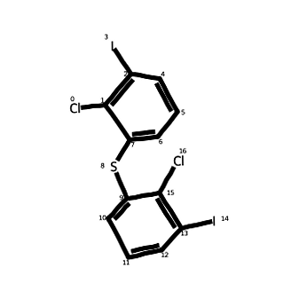 Clc1c(I)cccc1Sc1cccc(I)c1Cl